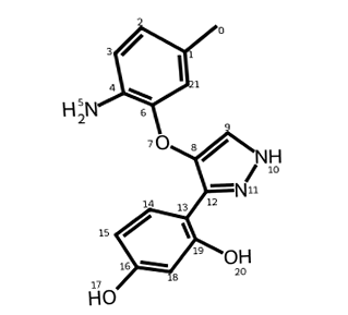 Cc1ccc(N)c(Oc2c[nH]nc2-c2ccc(O)cc2O)c1